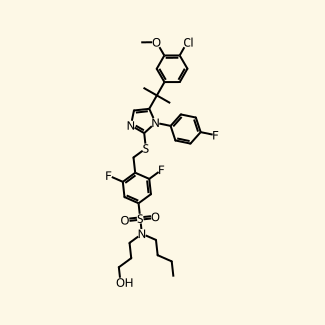 CCCCN(CCCO)S(=O)(=O)c1cc(F)c(CSc2ncc(C(C)(C)c3ccc(Cl)c(OC)c3)n2-c2ccc(F)cc2)c(F)c1